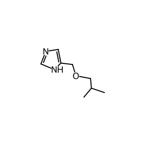 CC(C)COCc1cnc[nH]1